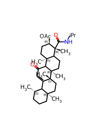 CC(=O)O[C@@H]1CC[C@@]2(C)C(CC[C@]3(C)C2C(=O)C=C2C4[C@@H](C)CCC[C@]4(C)CC[C@]23C)[C@@]1(C)C(=O)NC(C)C